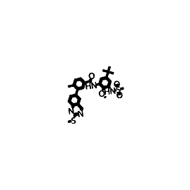 COc1c(NC(=O)c2ccc(C)c(-c3ccc4nc(SC)ncc4c3)c2)cc(C(C)(C)C)cc1NS(C)(=O)=O